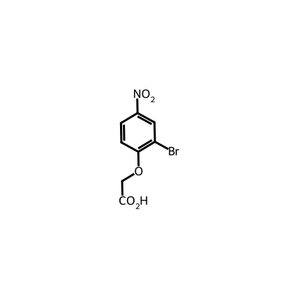 O=C(O)COc1ccc([N+](=O)[O-])cc1Br